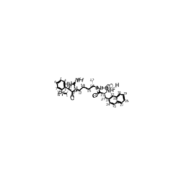 CC(C)C[C@]1(c2ccccc2)NC(=N)N(CCC[C@H](C)NC(=O)[C@H](Cc2ccc3ccccc3c2)NC(=O)O)C1=O